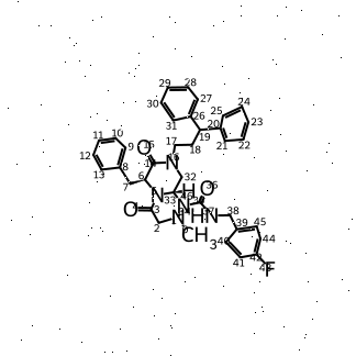 CN1CC(=O)N2[C@@H](Cc3ccccc3)C(=O)N(CCC(c3ccccc3)c3ccccc3)C[C@@H]2N1C(=O)NCc1ccc(F)cc1